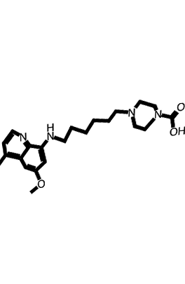 COc1cc(NCCCCCCN2CCN(C(=O)O)CC2)c2nccc(C)c2c1